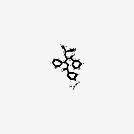 COc1ccc(C(=O)CC(c2ccccc2)C(CC(C#N)C#N)C(=O)c2ccccc2)cc1